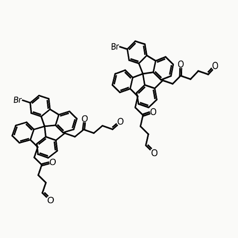 O=CCCC(=O)CCc1ccccc1C1(c2ccccc2CCC(=O)CCC=O)c2ccccc2-c2ccc(Br)cc21.O=CCCC(=O)CCc1ccccc1C1(c2ccccc2CCC(=O)CCC=O)c2ccccc2-c2ccc(Br)cc21